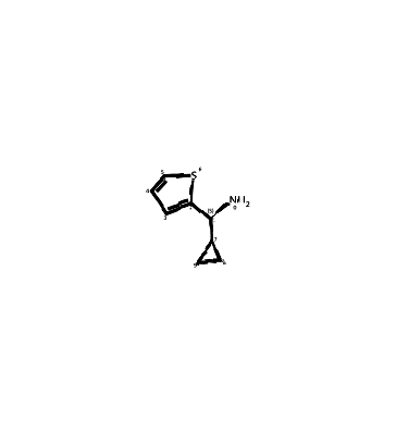 N[C@H](c1cccs1)C1CC1